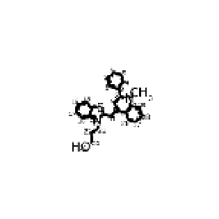 C[N+]1=C(c2ccccc2)CC(=CC2Sc3ccccc3N2CCCO)c2ccccc21